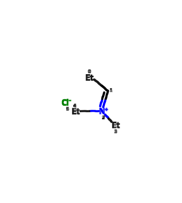 CCC=[N+](CC)CC.[Cl-]